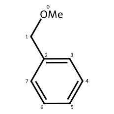 [1C]OCc1ccccc1